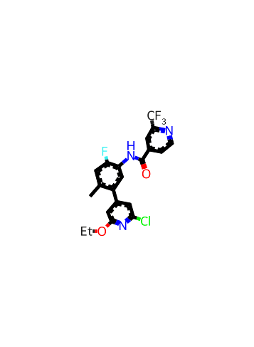 CCOc1cc(-c2cc(NC(=O)c3ccnc(C(F)(F)F)c3)c(F)cc2C)cc(Cl)n1